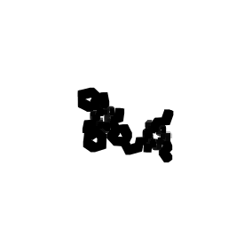 C=CC[Si]1(C)O[Si](C)(CC=C)O[Si](C)(C/C=C\c2ccc([Si]3(C=C)O[Si](C=C)(c4ccccc4)O[Si](C=C)(c4ccccc4)O3)cc2)O1